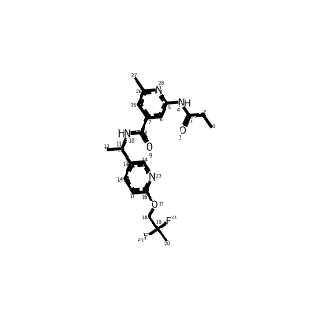 CCC(=O)Nc1cc(C(=O)NC(C)c2ccc(OCC(C)(F)F)nc2)cc(C)n1